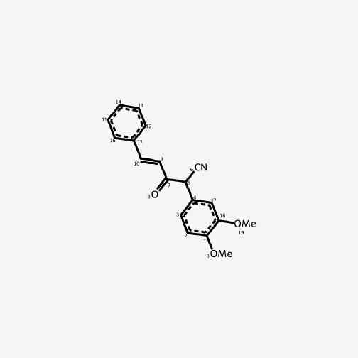 COc1ccc(C(C#N)C(=O)C=Cc2ccccc2)cc1OC